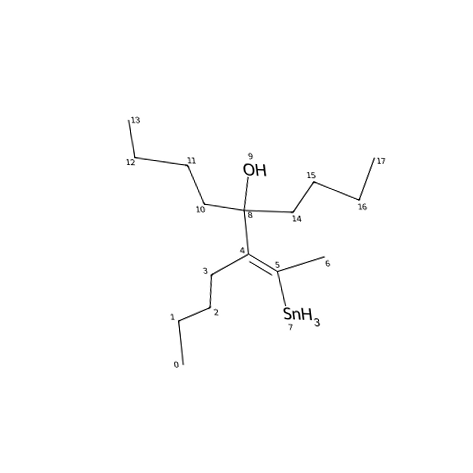 CCCCC(=[C](C)[SnH3])C(O)(CCCC)CCCC